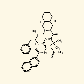 CC(C)(C)NC(=O)[C@@H]1C[C@@H]2CCCC[C@@H]2CN1C[C@@H](O)[C@H](Cc1ccccc1)NC(=O)C(CC(N)=O)NC(=O)c1ccc2ccccc2n1